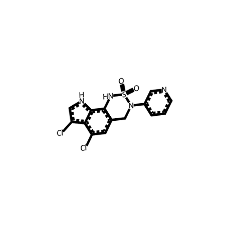 O=S1(=O)Nc2c(cc(Cl)c3c(Cl)c[nH]c23)CN1c1cccnc1